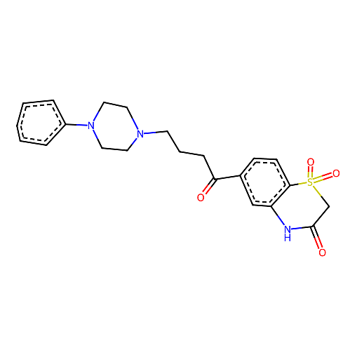 O=C1CS(=O)(=O)c2ccc(C(=O)CCCN3CCN(c4ccccc4)CC3)cc2N1